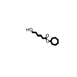 O=C(CC=CCCO)OC1CCCCCC1